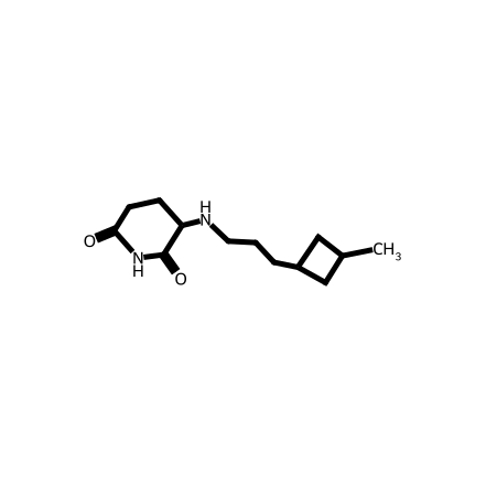 CC1CC(CCCNC2CCC(=O)NC2=O)C1